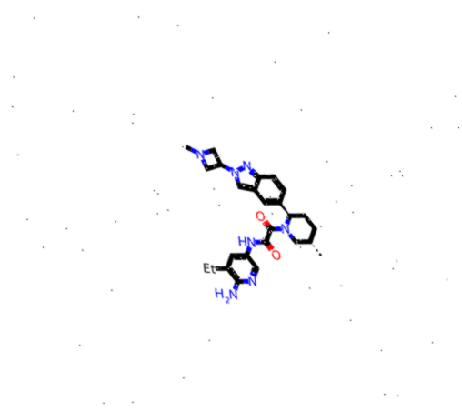 CCc1cc(NC(=O)C(=O)N2C[C@@H](C)CC[C@@H]2c2ccc3nn(C4CN(C)C4)cc3c2)cnc1N